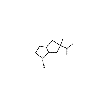 CC(C)C1(C)CC2CC[S+]([O-])C2C1